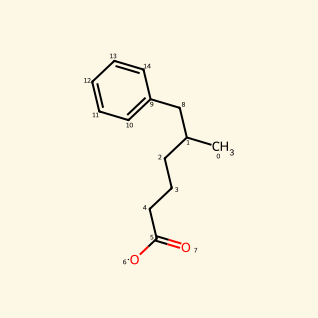 CC(CCCC([O])=O)Cc1ccccc1